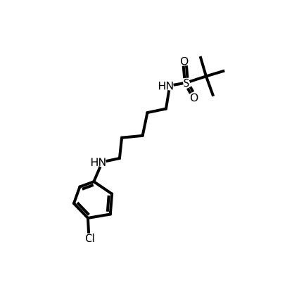 CC(C)(C)S(=O)(=O)NCCCCCNc1ccc(Cl)cc1